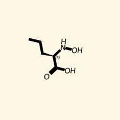 CCC[C@@H](NO)C(=O)O